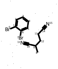 Brc1ccccc1Br.CC(C#N)CCC#N